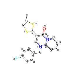 CC1CSC(c2c[n+](Cc3ccc(F)cc3)c3ccccn3c2=O)S1